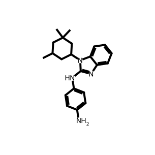 CC1CC(n2c(Nc3ccc(N)cc3)nc3ccccc32)CC(C)(C)C1